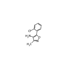 Cc1noc(-c2ccccc2Cl)c1N